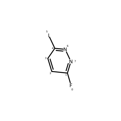 Fc1ccc(I)nn1